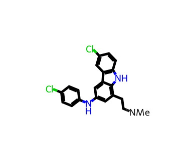 CNCCc1cc(Nc2ccc(Cl)cc2)cc2c1[nH]c1ccc(Cl)cc12